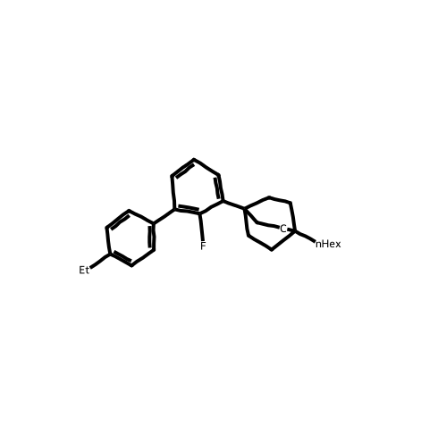 CCCCCCC12CCC(c3cccc(-c4ccc(CC)cc4)c3F)(CC1)CC2